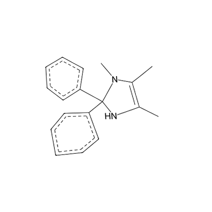 CC1=C(C)N(C)C(c2ccccc2)(c2ccccc2)N1